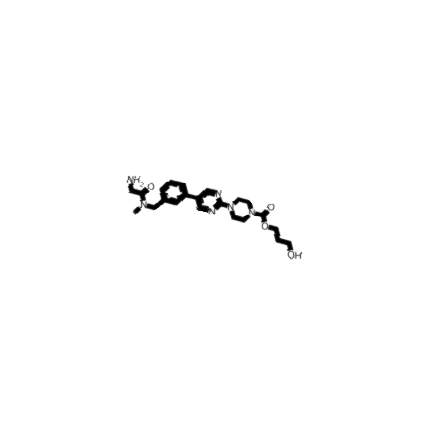 CN(Cc1cccc(-c2cnc(N3CCN(C(=O)OCCCO)CC3)nc2)c1)C(=O)CN